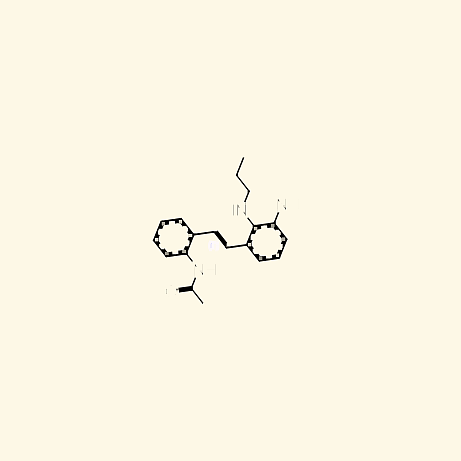 CCCNc1c(N)cccc1/C=C/c1ccccc1NC(C)=O